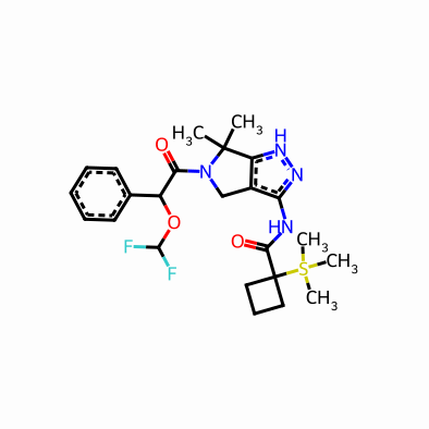 CC1(C)c2[nH]nc(NC(=O)C3(S(C)(C)C)CCC3)c2CN1C(=O)C(OC(F)F)c1ccccc1